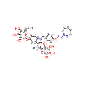 Cc1c(O[C@H]2[C@H](O)[C@@H](O)[C@H](O)O[C@@H]2C(=O)O)n(Cc2ccc(OCCN3CCCCCC3)cc2)c2ccc(O[C@@H]3O[C@H](C(=O)O)[C@@H](O)[C@H](O)[C@H]3O)cc12